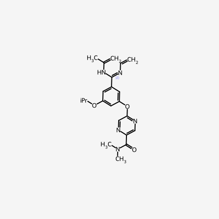 C=C/N=C(\NC(=C)C)c1cc(Oc2cnc(C(=O)N(C)C)cn2)cc(OC(C)C)c1